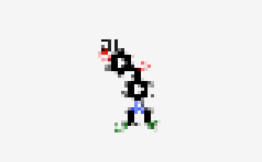 COc1ccc(C(=O)c2ccc(N(CCCl)CCCl)cc2)cc1